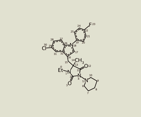 CCN1C(=O)N(N2CCCCC2)C(=O)C1(C)Cc1cn(-c2ccc(F)cc2)c2ccc(Cl)cc12